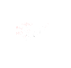 C[C@@H]1CC[C@]2(C(=O)[C@@H]3OC(CO)[C@@H](O)C(O)C3O)CC[C@]3(C)C(=CCC4[C@@]5(C)CCC(=O)C(C)(C)C5CC[C@]43C)C2[C@H]1C